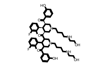 Cc1c(F)cccc1C1C(C(=O)c2cccc(O)c2)CN(CCCCNCCO)CC1C(=O)[C@@H]1CN(CCCCNCCO)C[C@H](C(=O)c2cccc(O)c2)[C@@H]1c1cccc(F)c1C